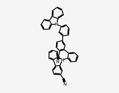 N#Cc1ccc2c3ccccc3n(-c3ccccc3-c3cc(-c4cccc(-n5c6ccccc6c6ccccc65)c4)ccc3C#N)c2c1